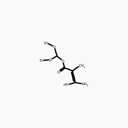 CCC/C([SiH3])=C(/C)C(=O)OC(OCC)OCC